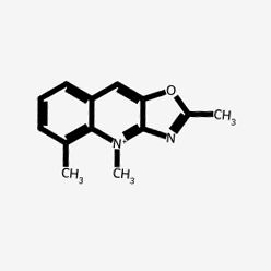 Cc1nc2c(cc3cccc(C)c3[n+]2C)o1